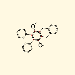 COc1c(-c2ccccc2)c(-c2ccccc2)c(OC)c2c1C1c3ccccc3C2c2ccccc21